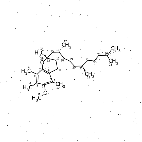 COc1c(C)c(C)c2c(c1C)CC[C@@](C)(C[C@H](C)CCC[C@H](C)CCCC(C)C)O2